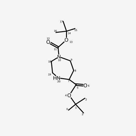 CC(C)(C)OC(=O)C1CCN(C(=O)OC(C)(C)C)CCN1